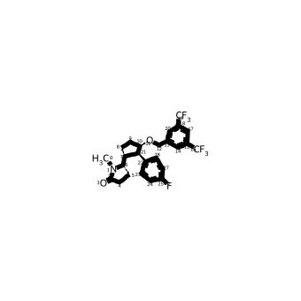 CN1C(=O)CC[C@H]1[C@@H]1CC[C@H](OCc2cc(C(F)(F)F)cc(C(F)(F)F)c2)[C@H]1c1ccc(F)cc1